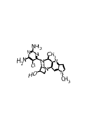 CC(Nc1nc(N)nc(N)c1Cl)c1nc2ccn(C)c2cc1N1CC(O)C1